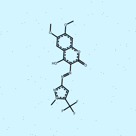 COc1cc2oc(=O)c(N=Nc3cc(C(F)(F)F)n(C)n3)c(O)c2cc1OC